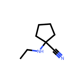 CCNC1(C#N)CCCC1